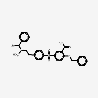 CC(C)(C)C(c1ccccc1)N(CCc1ccc(S(=O)(=O)c2ccc(OCc3ccccc3)c(C(N)=O)c2)cc1)C(=O)O